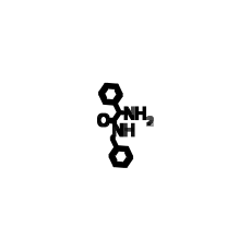 NC(C(=O)NCc1ccccc1)c1ccccc1